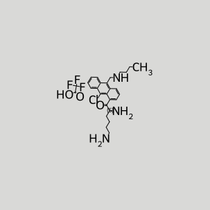 CCCCNCc1c2ccccc2c(Cl)c2c(C(=O)[C@@H](N)CCCCN)cccc12.O=C(O)C(F)(F)F